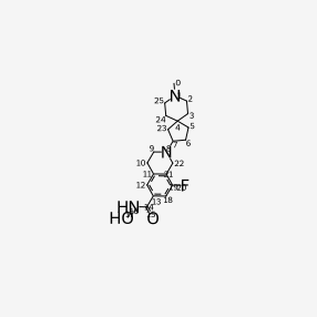 CN1CCC2(CCC(N3CCc4cc(C(=O)NO)cc(F)c4C3)C2)CC1